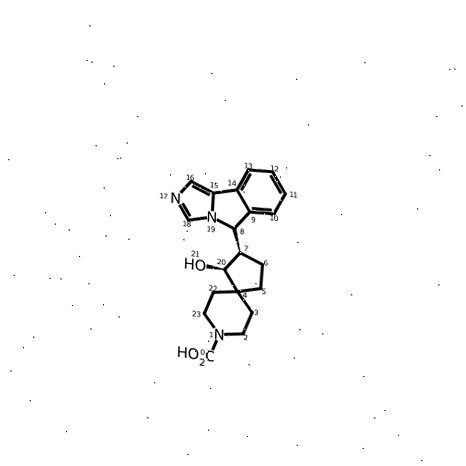 O=C(O)N1CCC2(CC[C@H](C3c4ccccc4-c4cncn43)[C@@H]2O)CC1